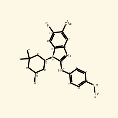 CC(=O)Oc1cc2nc(Nc3ccc(OC(C)C)cc3)n([C@H]3C[C@@H](C)CC(C)(C)C3)c2cc1F